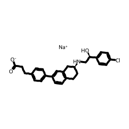 O=C([O-])CCc1ccc(-c2ccc3c(c2)C[C@@H](NC[C@@H](O)c2ccc(Cl)cc2)CC3)cc1.[Na+]